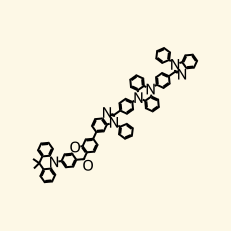 CC1(C)c2ccccc2N(c2ccc3c(=O)c4ccc(-c5ccc6nc(-c7ccc(N8c9ccccc9N(c9ccc(-c%10nc%11ccccc%11n%10-c%10ccccc%10)cc9)c9ccccc98)cc7)n(-c7ccccc7)c6c5)cc4oc3c2)c2ccccc21